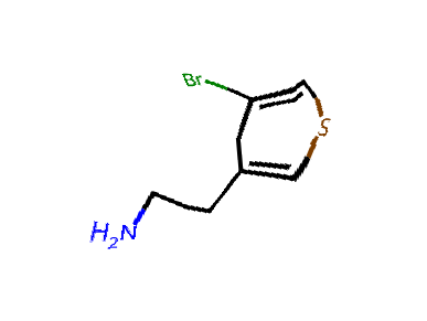 NCCc1cscc1Br